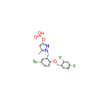 Cc1cc(OC(=O)O)nn1Cc1cc(Br)ccc1OCc1ccc(F)cc1F